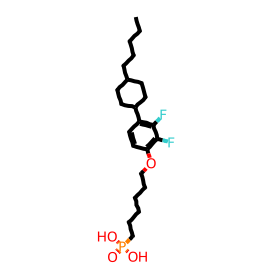 CCCCCC1CCC(c2ccc(OCCCCCCP(=O)(O)O)c(F)c2F)CC1